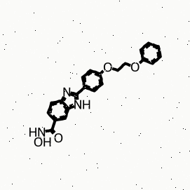 O=C(NO)c1ccc2nc(-c3ccc(OCCOc4ccccc4)cc3)[nH]c2c1